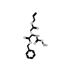 C=CCOC(=O)C[C@H](NC(=O)OC(C)(C)C)C(=O)OCc1ccccc1